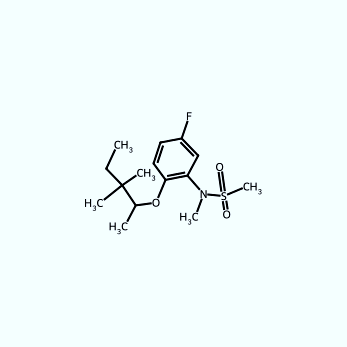 CCC(C)(C)C(C)Oc1ccc(F)cc1N(C)S(C)(=O)=O